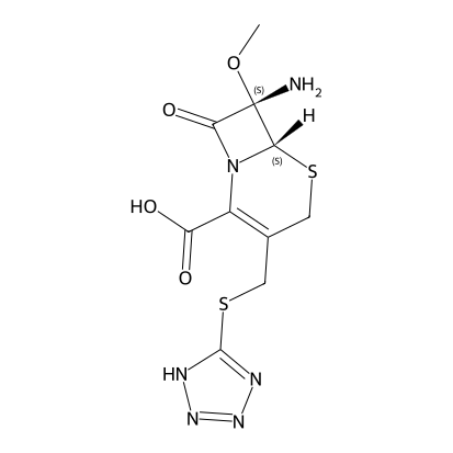 CO[C@@]1(N)C(=O)N2C(C(=O)O)=C(CSc3nnn[nH]3)CS[C@H]21